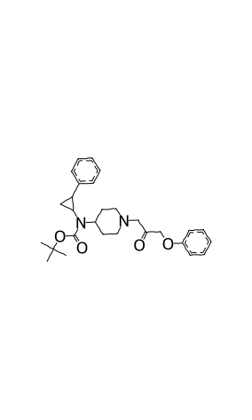 CC(C)(C)OC(=O)N(C1CCN(CC(=O)COc2ccccc2)CC1)C1CC1c1ccccc1